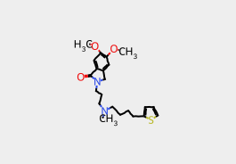 COc1cc2c(cc1OC)C(=O)N(CCCN(C)CCCCc1cccs1)C2